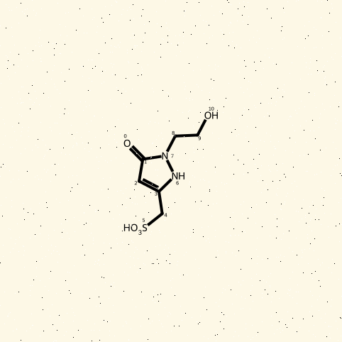 O=c1cc(CS(=O)(=O)O)[nH]n1CCO